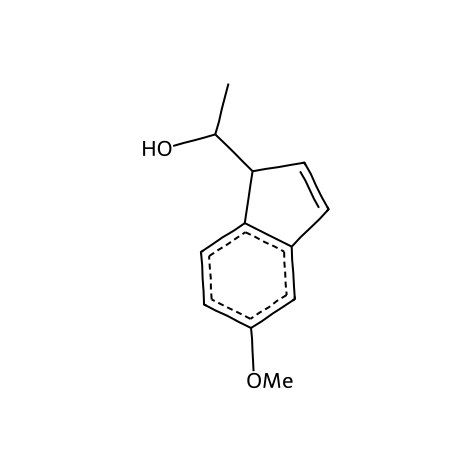 COc1ccc2c(c1)C=CC2C(C)O